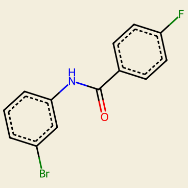 O=C(Nc1cccc(Br)c1)c1ccc(F)cc1